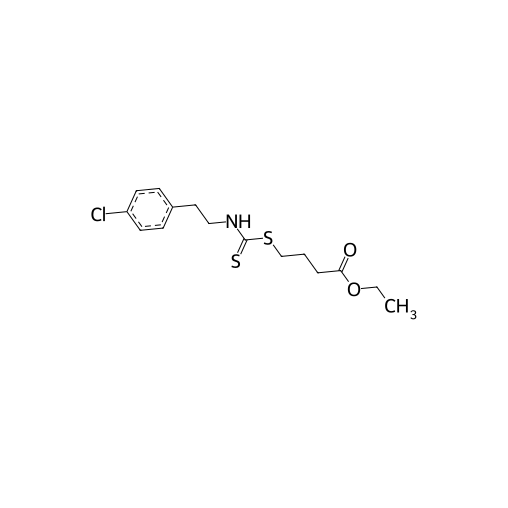 CCOC(=O)CCCSC(=S)NCCc1ccc(Cl)cc1